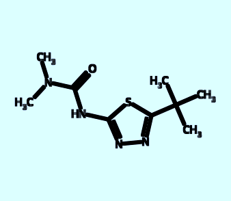 CN(C)C(=O)Nc1nnc(C(C)(C)C)s1